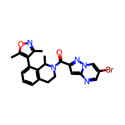 Cc1noc(C)c1-c1cccc2c1C(C)N(C(=O)c1cc3ncc(Br)cn3n1)CC2